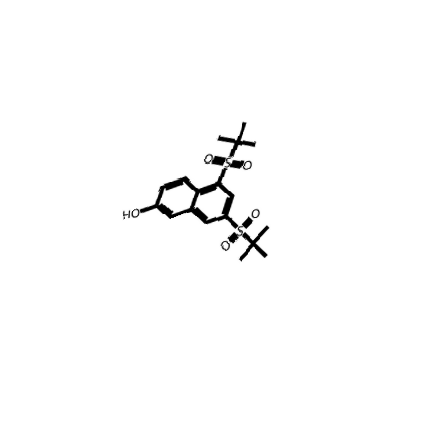 CC(C)(C)S(=O)(=O)c1cc(S(=O)(=O)C(C)(C)C)c2ccc(O)cc2c1